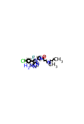 CCCCN(C)C/C=C/C(=O)N1CC[C@@H](n2c(F)c(-c3ccc(Cl)cc3)c3c(N)ncnc32)C1